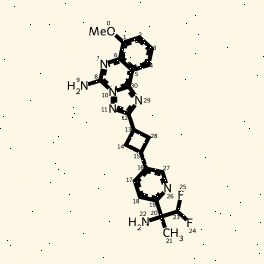 COc1cccc2c1nc(N)n1nc(C3CC(c4ccc(C(C)(N)C(F)F)nc4)C3)nc21